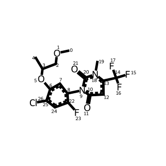 COCC(C)Oc1cc(-n2c(=O)cc(C(F)(F)F)n(C)c2=O)c(F)cc1Cl